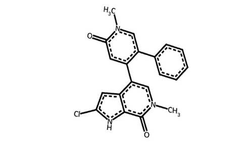 Cn1cc(-c2ccccc2)c(-c2cn(C)c(=O)c3[nH]c(Cl)cc23)cc1=O